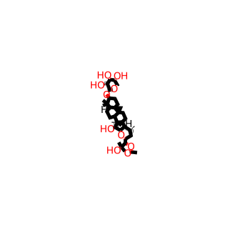 CC(=O)OC(C1C[C@@H](C)[C@H]2C(O1)[C@H](O)[C@@]1(C)C3CC[C@H]4C(C)(C)C(O[C@@H]5OCC(O)C(O)[C@H]5O)CCC45CC35CCC21C)C(C)(C)O